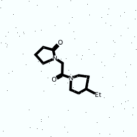 CCC1CCN(C(=O)CN2CCCC2=O)CC1